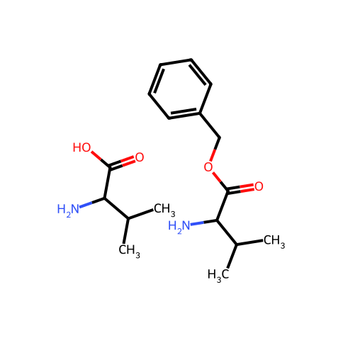 CC(C)C(N)C(=O)O.CC(C)C(N)C(=O)OCc1ccccc1